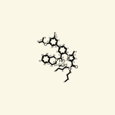 CCCCN(CCCC)C(=O)c1cc(C)n(-c2ccc(-c3cc(F)cc(OC(C)C)c3)cc2C(O)N2Cc3ccccc3C[C@H]2CO)n1